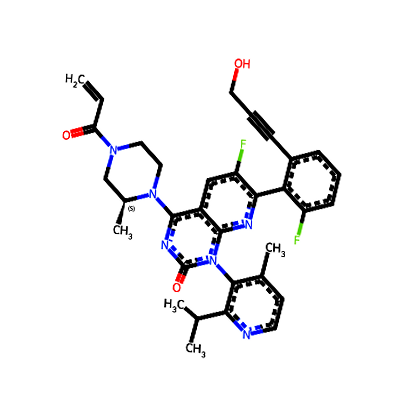 C=CC(=O)N1CCN(c2nc(=O)n(-c3c(C)ccnc3C(C)C)c3nc(-c4c(F)cccc4C#CCO)c(F)cc23)[C@@H](C)C1